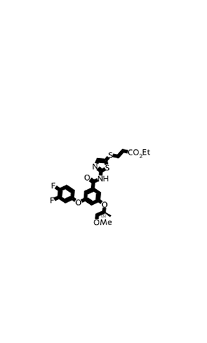 CCOC(=O)CCSc1cnc(NC(=O)c2cc(Oc3ccc(F)c(F)c3)cc(O[C@@H](C)COC)c2)s1